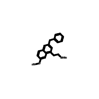 CCCOc1ccc2cc(Cc3ccccc3)cc(CCNC(C)=O)c2c1